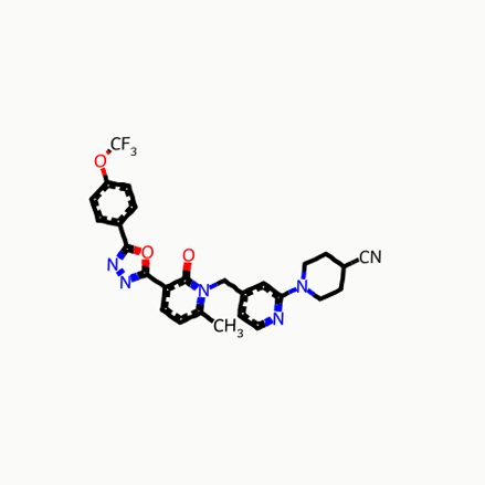 Cc1ccc(-c2nnc(-c3ccc(OC(F)(F)F)cc3)o2)c(=O)n1Cc1ccnc(N2CCC(C#N)CC2)c1